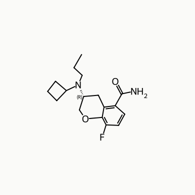 CCCN(C1CCC1)[C@H]1COc2c(F)ccc(C(N)=O)c2C1